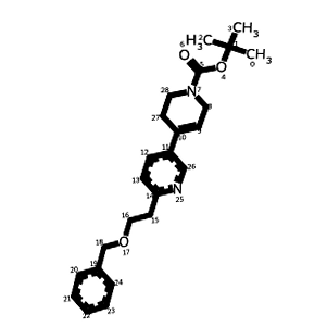 CC(C)(C)OC(=O)N1CC=C(c2ccc(CCOCc3ccccc3)nc2)CC1